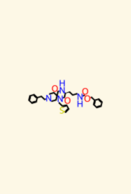 O=C(NCCC[C@@H]1NC(=O)C2(CCN(CCc3ccccc3)CC2)N(Cc2cccs2)C1=O)OCc1ccccc1